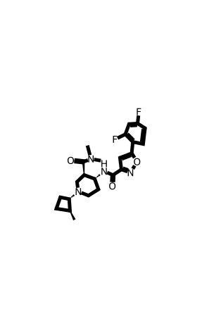 C[C@H]1CC[C@@H]1N1CC[C@@H](NC(=O)c2cc(-c3ccc(F)cc3F)on2)[C@H](C(=O)N(C)C)C1